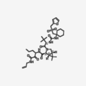 C=CCNC(=O)C(=O)C(CCC)NC(=O)[C@@H]1[C@@H]2[C@H](CN1C(=O)[C@@H](NC(=O)NC1(CS(=O)(=O)Cc3ccco3)CCCCC1)C(C)(C)C)C2(C)C